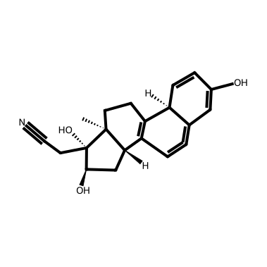 C[C@]12CCC3=C(C=C=C4C=C(O)C=C[C@@H]43)[C@@H]1C[C@@H](O)[C@@]2(O)CC#N